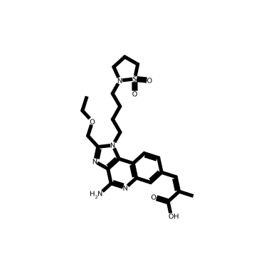 CCOCc1nc2c(N)nc3cc(C=C(C)C(=O)O)ccc3c2n1CCCCN1CCCS1(=O)=O